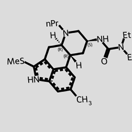 CCCN1C[C@@H](NC(=O)N(CC)CC)C[C@@H]2c3cc(C)cc4[nH]c(SC)c(c34)C[C@H]21